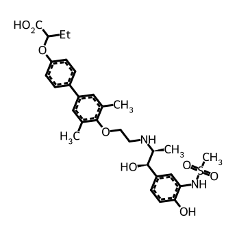 CCC(Oc1ccc(-c2cc(C)c(OCCN[C@@H](C)[C@H](O)c3ccc(O)c(NS(C)(=O)=O)c3)c(C)c2)cc1)C(=O)O